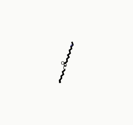 C=CCCCCCCOC(=O)CCCCCCC/C=C/C